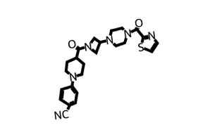 N#Cc1ccc(N2CCC(C(=O)N3CC(N4CCN(C(=O)c5nccs5)CC4)C3)CC2)cc1